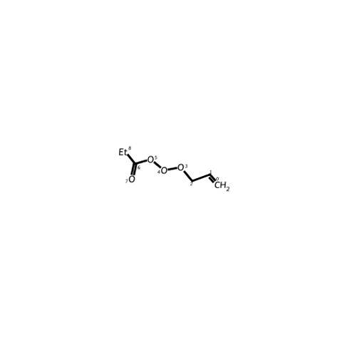 C=CCOOOC(=O)CC